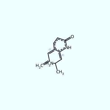 C=C/C=c1/ccc(=O)[nH]/c1=C/C(C)N